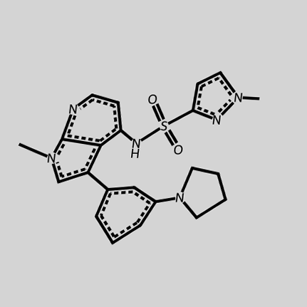 Cn1ccc(S(=O)(=O)Nc2ccnc3c2c(-c2cccc(N4CCCC4)c2)cn3C)n1